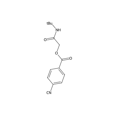 [C-]#[N+]c1ccc(C(=O)OCC(=O)NC(C)(C)C)cc1